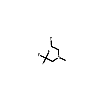 CN(CCF)CC(F)(F)F